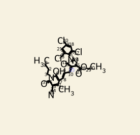 CCCCn1c(O)c(C=C/C=C2\C(=O)N(c3c(Cl)cc(Cl)cc3Cl)N=C2C(=O)OCC)c(C)c(C#N)c1=O